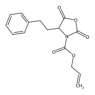 C=CCOC(=O)N1C(=O)OC(=O)C1CCc1ccccc1